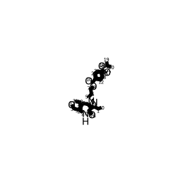 CCc1nn(CCCOC(=O)c2ccc(S(=O)(=O)C(C)C)cc2)c2c1C(=O)NCC1(CCOCC1)C2